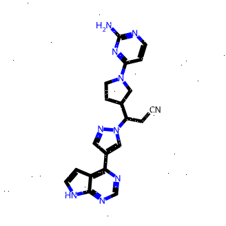 N#CCC(C1CCN(c2ccnc(N)n2)C1)n1cc(-c2ncnc3[nH]ccc23)cn1